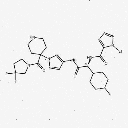 CCn1nccc1C(=O)N[C@H](C(=O)Nc1cnn(C2(C(=O)N3CCC(F)(F)C3)CCNCC2)c1)C1CCC(C)CC1